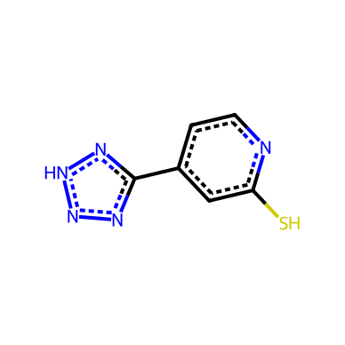 Sc1cc(-c2nn[nH]n2)ccn1